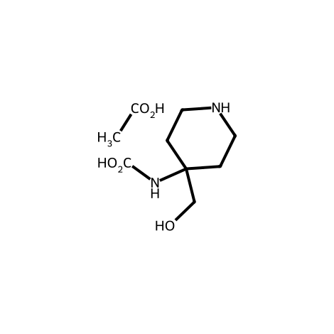 CC(=O)O.O=C(O)NC1(CO)CCNCC1